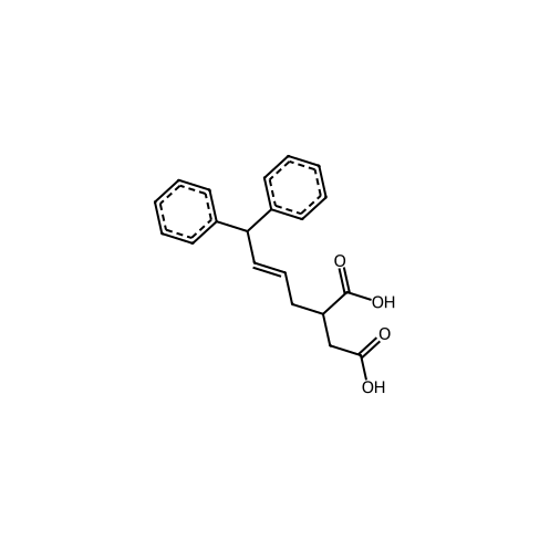 O=C(O)CC(CC=CC(c1ccccc1)c1ccccc1)C(=O)O